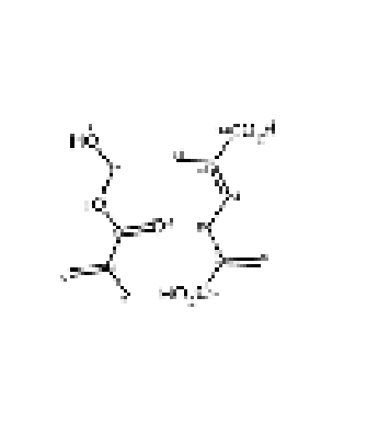 C=C(C)C(=O)OCO.C=C(CC=C(C)C(=O)O)C(=O)O